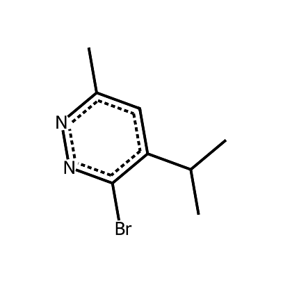 Cc1cc(C(C)C)c(Br)nn1